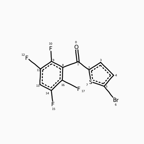 O=C(c1ccc(Br)s1)c1c(F)c(F)cc(F)c1F